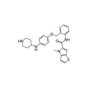 Cn1c(C(=O)Nc2ccccc2COc2ccc(NC3CCNCC3)cc2)cc2sccc21